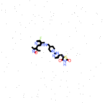 Cc1noc(C)c1-c1cc(CNCC2CCN(c3nccc(/C=C4/SC(=O)NC4=O)n3)CC2)c(F)cn1